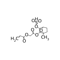 C=CC(=O)OCC(=O)OC1C(O[SH](=O)=O)C2CCC1(C)O2